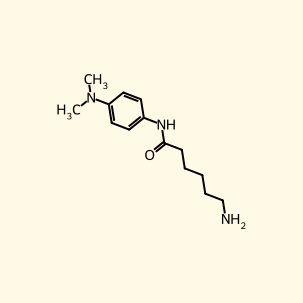 CN(C)c1ccc(NC(=O)CCCCCN)cc1